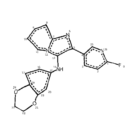 Fc1ccc(-c2nc3ccccn3c2Nc2ccc3c(c2)OCCO3)cn1